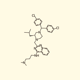 CC(C)C[C@H]1CN(C(c2ccc(Cl)cc2)c2ccc(Cl)cc2)CCN1Cc1nc(NCCCN(C)C)c2ccccc2n1